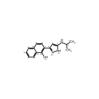 CC(C)Nc1cc(-c2ccc3ccccc3c2O)n[nH]1